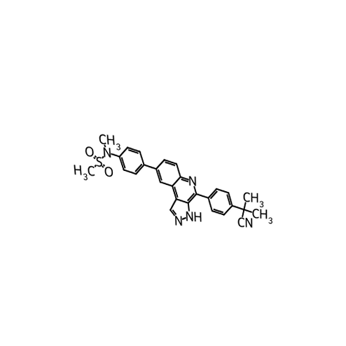 CN(c1ccc(-c2ccc3nc(-c4ccc(C(C)(C)C#N)cc4)c4[nH]ncc4c3c2)cc1)S(C)(=O)=O